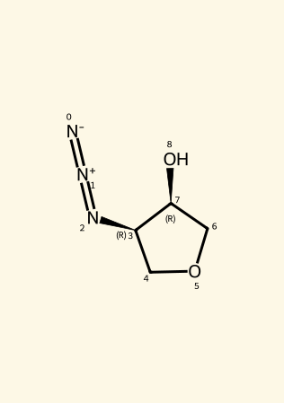 [N-]=[N+]=N[C@@H]1COC[C@@H]1O